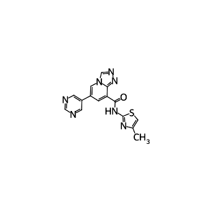 Cc1csc(NC(=O)c2cc(-c3cncnc3)cn3cnnc23)n1